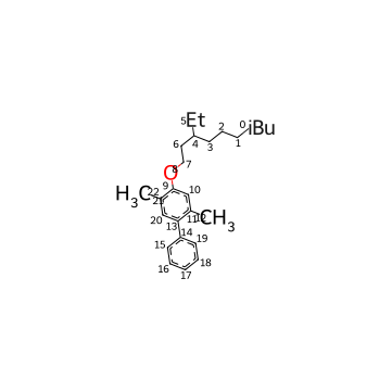 CCC(C)CCCC(CC)CCOc1cc(C)c(-c2ccccc2)cc1C